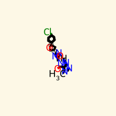 [2H]c1nc2ncn(C)c2c(=O)n1Cc1nc([C@@H]2CO[C@@H](c3ccc(Cl)cc3)C2)no1